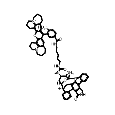 CN(C(=O)NCCCCCNC(=O)c1ccc(C(=O)O)c(C2=c3cc4c5c(c3Oc3c2cc2c6c3CCCN6CCCC2)CCC[N+]=5CCCC4)c1)[C@@H]1C[C@@H]2OC(C)(C1N)n1c3ccccc3c3c4c(c5c(c31)CC[C@@H]2c1ccccc1-5)C(=O)NC4